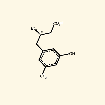 CC[C@@H](CC(=O)O)Cc1cc(O)cc(C(F)(F)F)c1